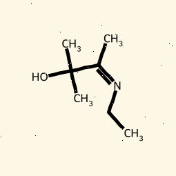 CCN=C(C)C(C)(C)O